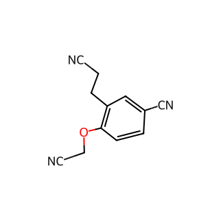 N#CCCc1cc(C#N)ccc1OCC#N